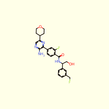 Nc1ncc(C2CCOCC2)nc1-c1ccc(C(=O)NC(CO)c2cccc(CF)c2)c(F)c1